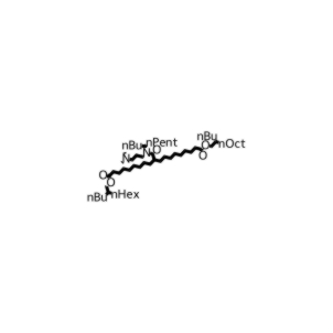 CCCCCCCCC(CCCC)COC(=O)CCCCCCCCC(CCCCCCCCC(=O)OCC(CCCC)CCCCCC)C(=O)N(CCCN(C)C)C(CCCC)CCCCC